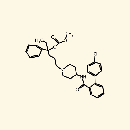 CCC(CCCN1CCC(NC(=O)c2ccccc2-c2ccc(Cl)cc2)CC1)(CC(=O)OC)c1ccccc1